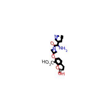 C#C/C=C(\C=N/C)C(N)C(=O)N1CC(Oc2ccc3c(c2C(=O)O)OB(O)CC3)C1